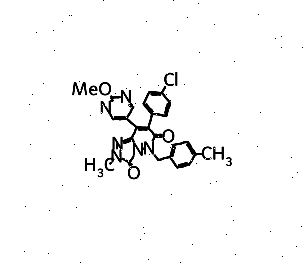 COc1ncc(-c2c(-c3ccc(Cl)cc3)c(=O)n(Cc3ccc(C)cc3)n3c(=O)n(C)nc23)cn1